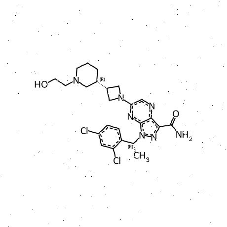 C[C@H](c1ccc(Cl)cc1Cl)n1nc(C(N)=O)c2ncc(N3CC([C@H]4CCCN(CCO)C4)C3)nc21